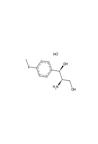 CSc1ccc([C@@H](O)[C@H](N)CO)cc1.Cl